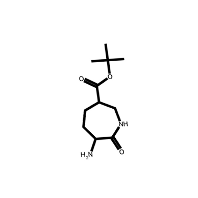 CC(C)(C)OC(=O)C1CCC(N)C(=O)NC1